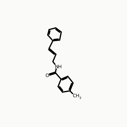 Cc1ccc(C(=O)NCC=Cc2ccccc2)cc1